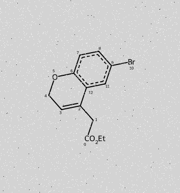 CCOC(=O)CC1=CCOc2ccc(Br)cc21